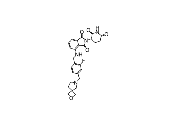 O=C1CCC(N2C(=O)c3cccc(NCc4ccc(CN5CCC6(COC6)C5)cc4F)c3C2=O)C(=O)N1